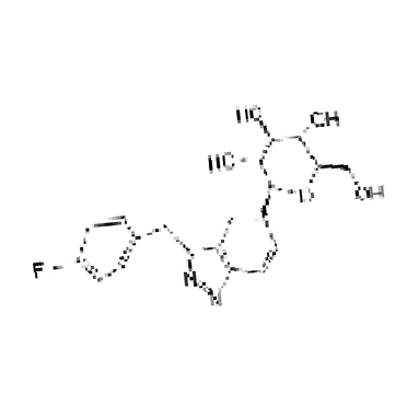 CCc1ccc(Cn2nnc3ccc([C@@H]4O[C@H](CO)[C@@H](O)[C@H](O)[C@H]4O)cc32)cc1